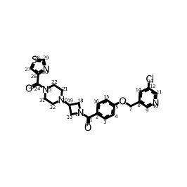 O=C(c1ccc(OCc2cncc(Cl)c2)cc1)N1CC(N2CCN(C(=O)c3cscn3)CC2)C1